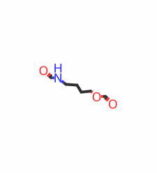 O=CNCCCCOC=O